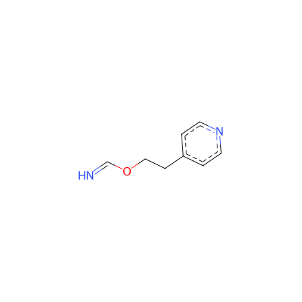 N=COCCc1ccncc1